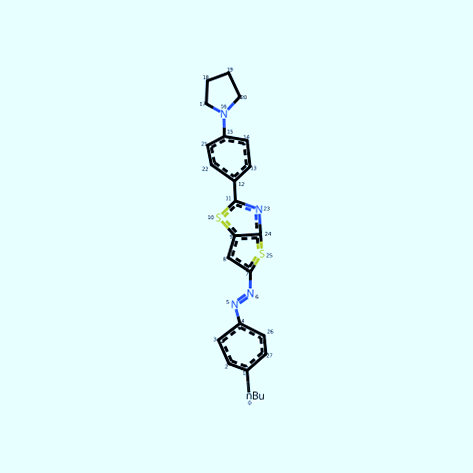 CCCCc1ccc(N=Nc2cc3sc(-c4ccc(N5CCCC5)cc4)nc3s2)cc1